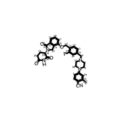 N#Cc1ccc(N2CCN(Cc3ccc(COc4cccc5c4CN([C@H]4CCC(=O)NC4=O)C5=O)c(F)c3)CC2)cc1F